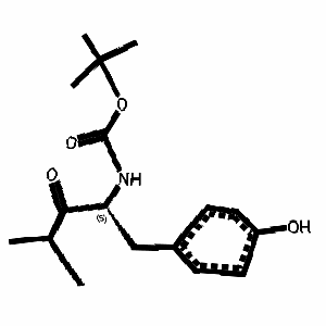 CC(C)C(=O)[C@H](Cc1ccc(O)cc1)NC(=O)OC(C)(C)C